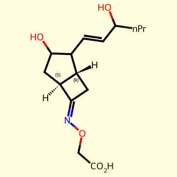 CCCC(O)C=CC1C(O)C[C@@H]2C(=NOCC(=O)O)C[C@@H]12